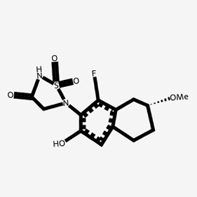 CO[C@@H]1CCc2cc(O)c(N3CC(=O)NS3(=O)=O)c(F)c2C1